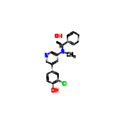 CN(c1cncc(-c2ccc(O)c(Cl)c2)c1)[C@@H](CO)c1ccccc1